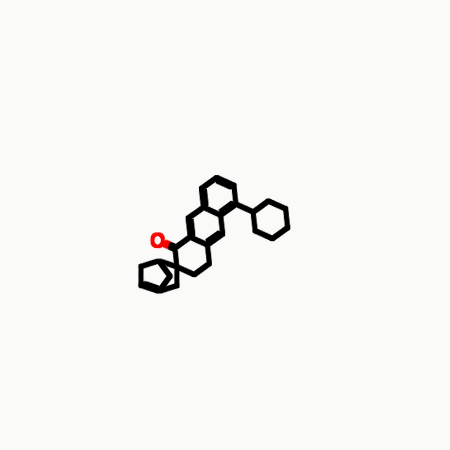 O=C1c2cc3cccc(C4CCCCC4)c3cc2CCC12CC1=CCC2C1